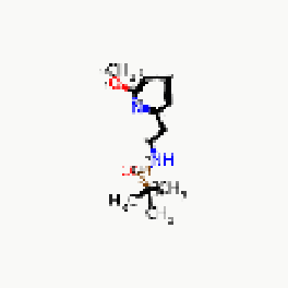 COc1cccc(CCN[S@+]([O-])C(C)(C)C)n1